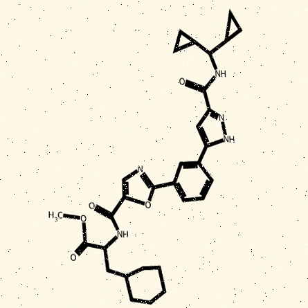 COC(=O)C(CC1CCCCC1)NC(=O)c1cnc(-c2cccc(-c3cc(C(=O)NC(C4CC4)C4CC4)n[nH]3)c2)o1